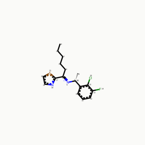 CCCCC/C(=N\[C@H](C)c1cccc(F)c1Cl)c1nccs1